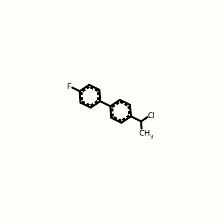 CC(Cl)c1ccc(-c2ccc(F)cc2)cc1